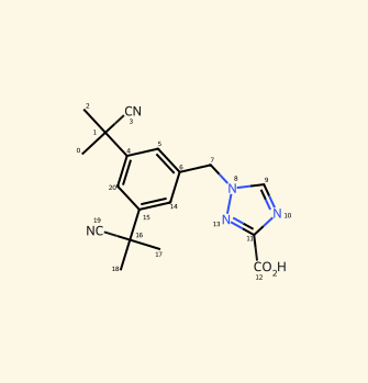 CC(C)(C#N)c1cc(Cn2cnc(C(=O)O)n2)cc(C(C)(C)C#N)c1